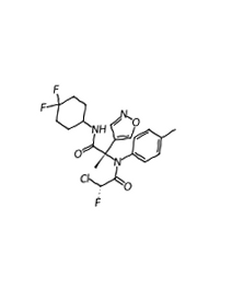 Cc1ccc(N(C(=O)[C@H](F)Cl)[C@](C)(C(=O)NC2CCC(F)(F)CC2)c2cnoc2)cc1